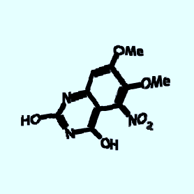 COc1cc2nc(O)nc(O)c2c([N+](=O)[O-])c1OC